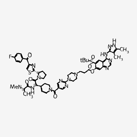 CN[C@@H](C)C(=O)N[C@H](C(=O)N1CCC[C@H]1c1nc(C(=O)c2ccc(F)cc2)cs1)C1CCN(C(=O)c2cnc(N3CCN(CCCOc4cc5ncnc(Nc6n[nH]c(C)c6C)c5cc4S(=O)(=O)C(C)(C)C)CC3)nc2)CC1